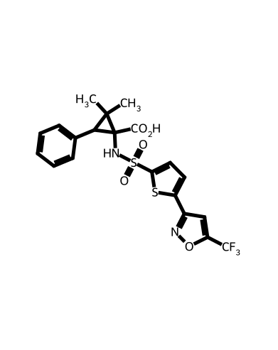 CC1(C)C(c2ccccc2)C1(NS(=O)(=O)c1ccc(-c2cc(C(F)(F)F)on2)s1)C(=O)O